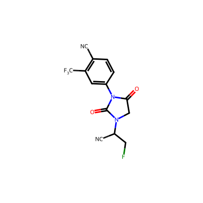 N#Cc1ccc(N2C(=O)CN(C(C#N)CF)C2=O)cc1C(F)(F)F